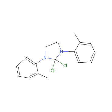 Cc1ccccc1N1CCN(c2ccccc2C)C1(Cl)Cl